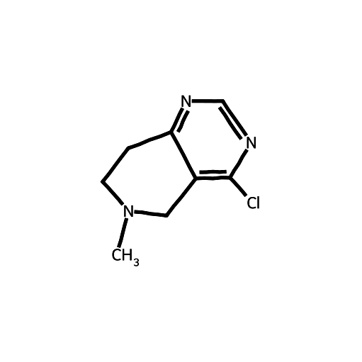 CN1CCc2ncnc(Cl)c2C1